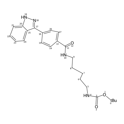 CC(C)(C)OC(=O)NCCCCCNC(=O)c1ccc(-c2n[nH]c3ccccc23)cc1